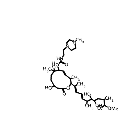 CCC(OC)C(C)CC(O)C(O)C(C)/C=C/C=C(\C)C1OC(=O)CC(O)CCC(C)(O)C(OC(=O)NCCN2CCN(C)CC2)/C=C/C1C